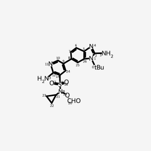 CC(C)(C)n1c(N)nc2ccc(-c3cnc(N)c(S(=O)(=O)N(OC=O)C4CC4)c3)cc21